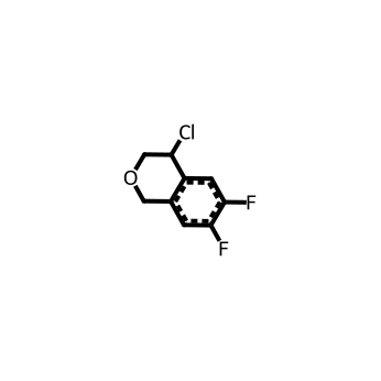 Fc1cc2c(cc1F)C(Cl)COC2